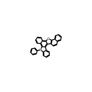 c1ccc(-n2c3ccccc3c3c4c5ccc6ccccc6c5oc4c4ccccc4c32)cc1